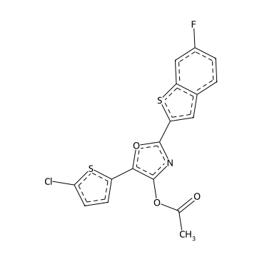 CC(=O)Oc1nc(-c2cc3ccc(F)cc3s2)oc1-c1ccc(Cl)s1